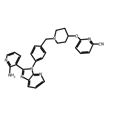 N#Cc1cccc(OC2CCN(Cc3ccc(-n4c(-c5cccnc5N)nc5cccnc54)cc3)CC2)n1